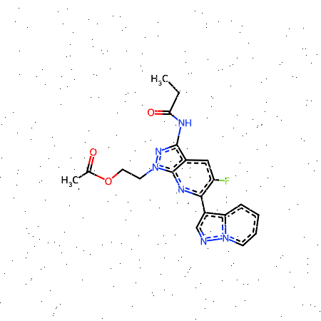 CCC(=O)Nc1nn(CCOC(C)=O)c2nc(-c3cnn4ccccc34)c(F)cc12